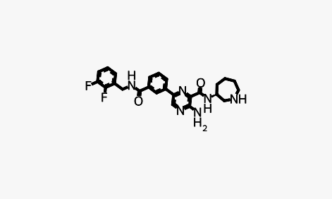 Nc1ncc(-c2cccc(C(=O)NCc3cccc(F)c3F)c2)nc1C(=O)N[C@H]1CCCCNC1